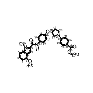 CCOc1cccc2c1cc(C(=O)Nc1ccc(O[C@H]3CCN(c4ccc(C(=O)OC(C)(C)C)cc4)C3)cc1)n2CC